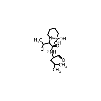 CC(C)CC(C=O)NC(=O)C(C(C)C)N1CCCCS1(O)O